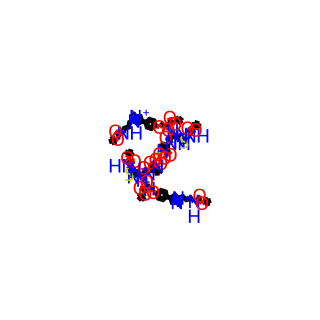 C[n+]1cc(-c2ccc(OC[C@H](O/N=C(\C(=O)N[C@@H]3C(=O)N(OS(=O)(=O)ON4C(=O)[C@@H](NC(=O)/C(=N\O[C@@H](COc5ccc(-c6cn(CCCNC(=O)OC(C)(C)C)[n+](C)c6)cc5)C(=O)OC(C)(C)C)c5nsc(NC(=O)OC(C)(C)C)n5)C4(C)C)C3(C)C)c3nsc(NC(=O)OC(C)(C)C)n3)C(=O)OC(C)(C)C)cc2)cn1CCCNC(=O)OC(C)(C)C